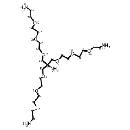 NCCOCCOCCOCC(N)(COCCOCCOCCN)COCCOCCOCCN